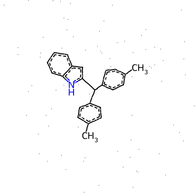 Cc1ccc(C(c2ccc(C)cc2)c2cc3ccccc3[nH]2)cc1